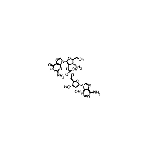 Nc1nc2c(ncn2[C@@H]2OC(CO)[C@@H](N)[C@H]2OP(=O)(O)OCC2O[C@@H](n3cnc4c(N)ncnc43)[C@H](O)[C@@H]2O)c(=O)[nH]1